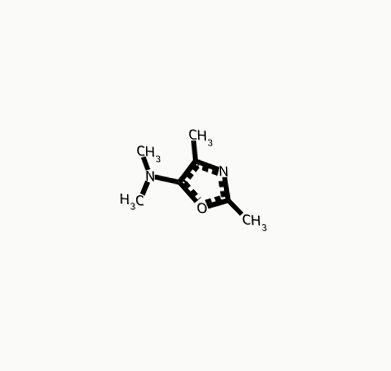 Cc1nc(C)c(N(C)C)o1